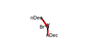 CCCCCCCCCCCCCCCCCCCCCCn1cc[n+](CCCCCCCCCCCCCCCCCCCCCC)c1.[Br-]